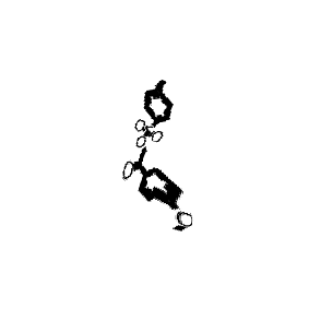 COc1ccc(C(=O)COS(=O)(=O)c2ccc(C)cc2)cc1